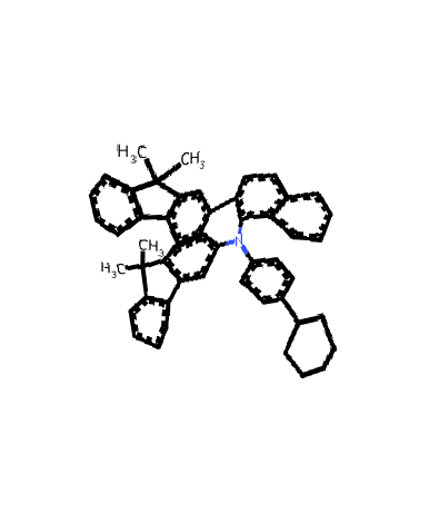 CC1(C)c2ccccc2-c2cc(N(c3ccc(C4CCCCC4)cc3)c3c(-c4ccc5c(c4)C(C)(C)c4ccccc4-5)ccc4ccccc34)ccc21